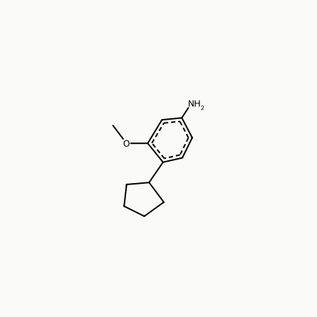 COc1cc(N)ccc1C1CCCC1